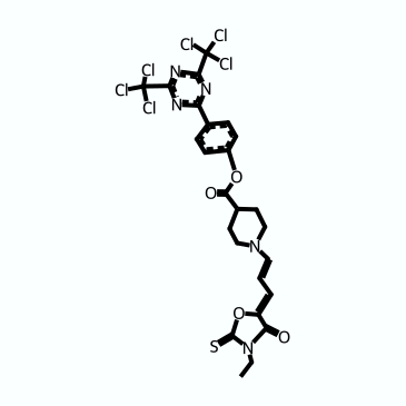 CCN1C(=O)C(=CC=CN2CCC(C(=O)Oc3ccc(-c4nc(C(Cl)(Cl)Cl)nc(C(Cl)(Cl)Cl)n4)cc3)CC2)OC1=S